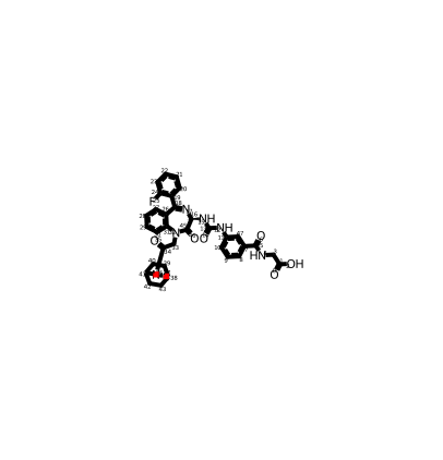 O=C(O)CNC(=O)c1cccc(NC(=O)N[C@@H]2N=C(c3ccccc3F)c3ccccc3N(CC(=O)N3CC4CCC(CC4)C3)C2=O)c1